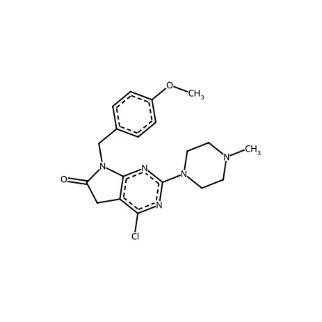 COc1ccc(CN2C(=O)Cc3c(Cl)nc(N4CCN(C)CC4)nc32)cc1